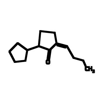 CCCC=C1CCC(C2CCCC2)C1=O